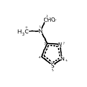 CN([C]=O)c1csnn1